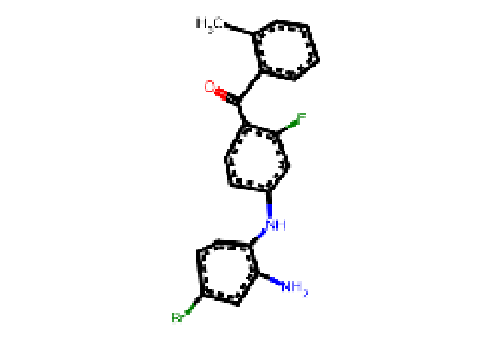 Cc1ccccc1C(=O)c1ccc(Nc2ccc(Br)cc2N)cc1F